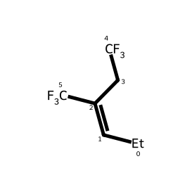 [CH2]CC=C(CC(F)(F)F)C(F)(F)F